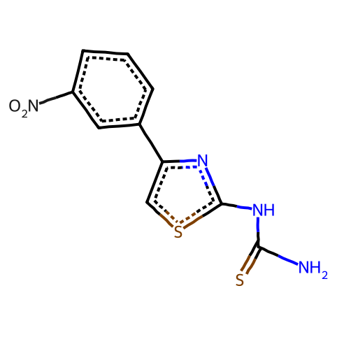 NC(=S)Nc1nc(-c2cccc([N+](=O)[O-])c2)cs1